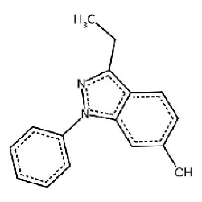 CCc1nn(-c2ccccc2)c2cc(O)ccc12